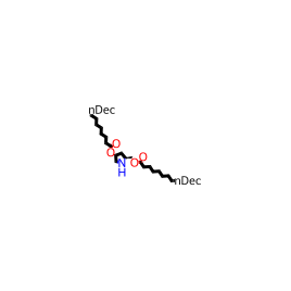 CCCCCCCCCCCCCCCCCC(=O)OC[C@@H]1C[C@@H](OC(=O)CCCCCCCCCCCCCCCCC)CN1